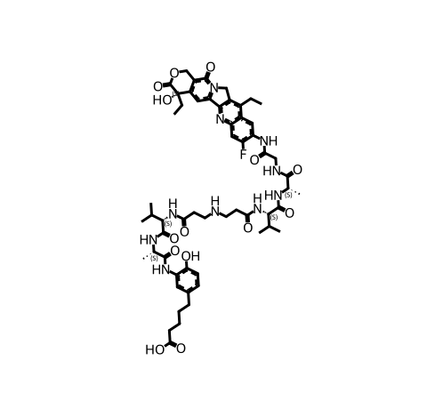 CCc1c2c(nc3cc(F)c(NC(=O)CNC(=O)[C@H](C)NC(=O)[C@@H](NC(=O)CCNCCC(=O)N[C@H](C(=O)N[C@@H](C)C(=O)Nc4cc(CCCCC(=O)O)ccc4O)C(C)C)C(C)C)cc13)-c1cc3c(c(=O)n1C2)COC(=O)[C@]3(O)CC